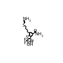 NC#CSCCCCc1cc(C(N)=O)cc2c(Br)c(C(F)(F)PO)sc12